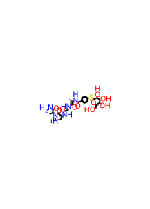 CC(C)C[C@H](NC(=O)CNC(=O)[C@H](C)NC(=O)c1ccc(SC2OC(CO)[C@H](O)C(O)C2O)cc1)C(=O)NC(C)C(N)=O